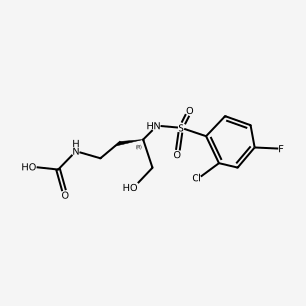 O=C(O)NCC[C@H](CO)NS(=O)(=O)c1ccc(F)cc1Cl